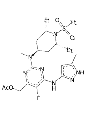 CC[C@@H]1C[C@@H](N(C)c2nc(COC(C)=O)c(F)c(Nc3cc(C)[nH]n3)n2)C[C@H](CC)N1S(=O)(=O)CC